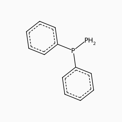 PP(c1ccccc1)c1ccccc1